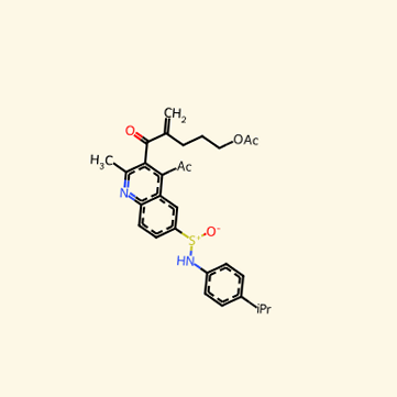 C=C(CCCOC(C)=O)C(=O)c1c(C)nc2ccc([S+]([O-])Nc3ccc(C(C)C)cc3)cc2c1C(C)=O